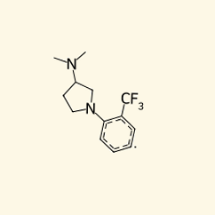 CN(C)C1CCN(c2cc[c]cc2C(F)(F)F)C1